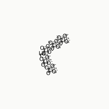 [C+4].[Li+].[O-][Cl+3]([O-])([O-])[O-].[O-][Cl+3]([O-])([O-])[O-].[O-][Cl+3]([O-])([O-])[O-].[O-][Cl+3]([O-])([O-])[O-].[O-][Cl+3]([O-])([O-])[O-]